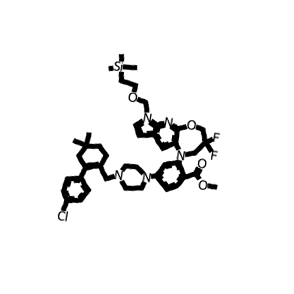 COC(=O)c1ccc(N2CCN(CC3=C(c4ccc(Cl)cc4)CC(C)(C)CC3)CC2)cc1N1CC(F)(F)COc2nc3c(ccn3COCC[Si](C)(C)C)cc21